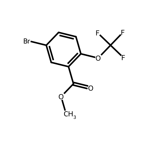 COC(=O)c1cc(Br)ccc1OC(F)(F)F